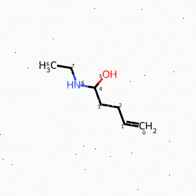 C=CCCC(O)NCC